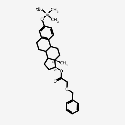 CC(C)(C)[Si](C)(C)Oc1ccc2c(c1)CCC1C2CC[C@@]2(C)C1CC[C@@H]2OC(=O)COCc1ccccc1